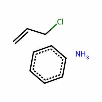 C=CCCl.N.c1ccccc1